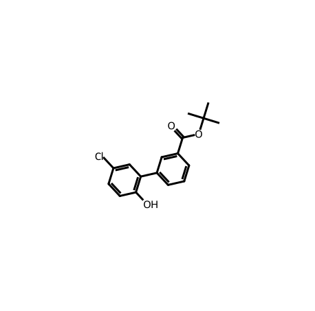 CC(C)(C)OC(=O)c1cccc(-c2cc(Cl)ccc2O)c1